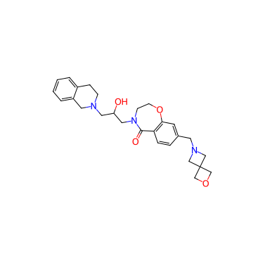 O=C1c2ccc(CN3CC4(COC4)C3)cc2OCCN1CC(O)CN1CCc2ccccc2C1